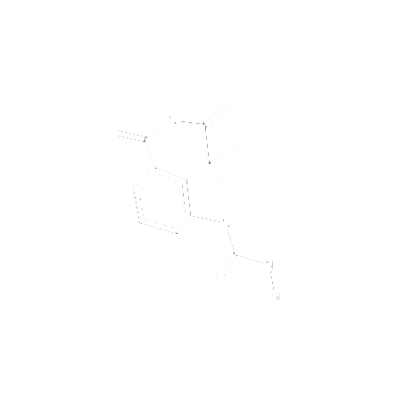 CCCNC(=O)Nc1cccc2c1C(C)(C)C(=O)NC2=O